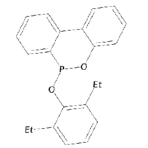 CCc1cccc(CC)c1OP1Oc2ccccc2-c2ccccc21